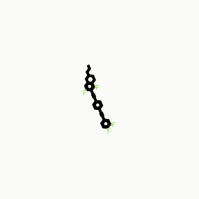 CCCC1CCc2c(cc(F)c(C#Cc3ccc(C#Cc4ccc(F)c(F)c4)cc3)c2F)C1